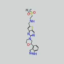 CS(=O)(=O)CCNCc1cc2nc(N3CCOC(c4cccc5[nH]ncc45)C3)ncc2s1